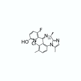 Cc1ccc2c(c1Cl)C(c1nc(O)ccc1F)=N[C@@H](C)c1ncc(C)n1-2